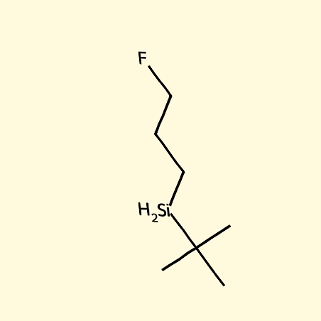 CC(C)(C)[SiH2]CCCF